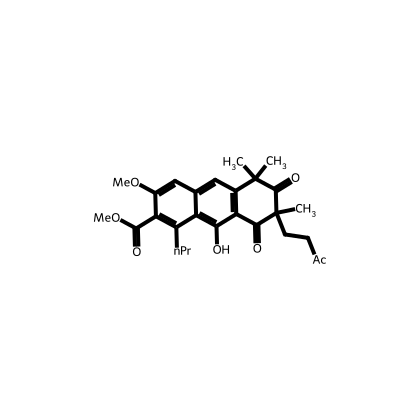 CCCc1c(C(=O)OC)c(OC)cc2cc3c(c(O)c12)C(=O)C(C)(CCC(C)=O)C(=O)C3(C)C